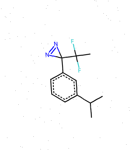 CC(C)c1cccc(C2(C(C)(F)F)N=N2)c1